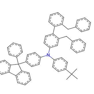 CC(C)(C)c1ccc(N(c2ccc(C3(c4ccccc4)c4ccccc4-c4ccccc43)cc2)c2ccc(-c3ccccc3Cc3ccccc3)c(Cc3ccccc3)c2)cc1